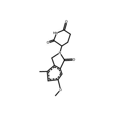 COc1cc(C)c2c(c1)C(=O)N(C1CCC(=O)NC1=O)C2